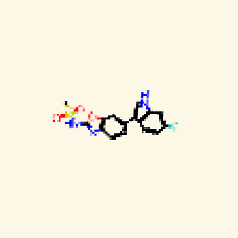 CS(=O)(=O)Nc1nc2ccc(-c3c[nH]c4cc(F)ccc34)cc2o1